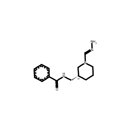 NN=CN1CCC[C@H](CNC(=O)c2ccccc2)C1